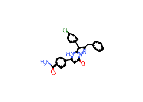 NC(=O)c1ccc(-c2cc(=O)n3nc(Cc4ccccc4)c(-c4ccc(Cl)cc4)c3[nH]2)cc1